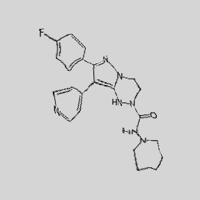 O=C(NN1CCCCC1)N1CCn2nc(-c3ccc(F)cc3)c(-c3ccncc3)c2N1